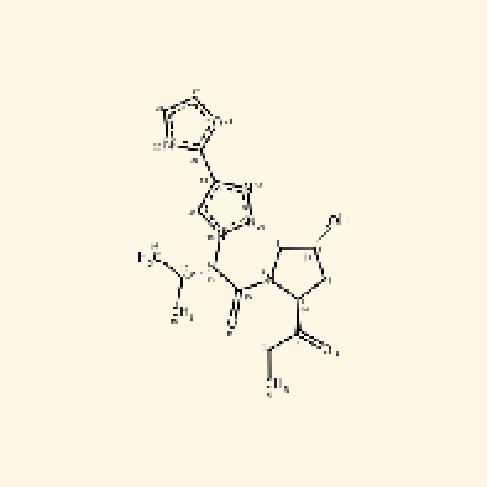 CCC(=O)[C@@H]1C[C@@H](O)CN1C(=O)[C@H](C(C)C)n1cc(-c2ncco2)nn1